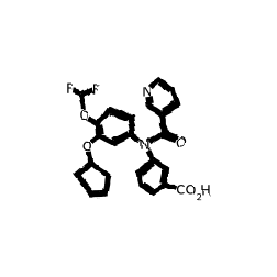 O=C(O)c1cccc(N(C(=O)c2cccnc2)c2ccc(OC(F)F)c(OC3CCCC3)c2)c1